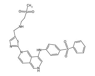 CS(=O)(=O)CCNCc1cnc(N2C=CC3=CNC=C(Nc4ccc(S(=O)(=O)c5ccccc5)cc4)C3=C2)s1